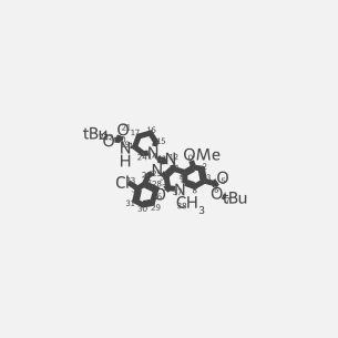 COc1cc(C(=O)OC(C)(C)C)cc2c1c1nc(N3CCC[C@@H](NC(=O)OC(C)(C)C)C3)n(Cc3ccccc3Cl)c1c(=O)n2C